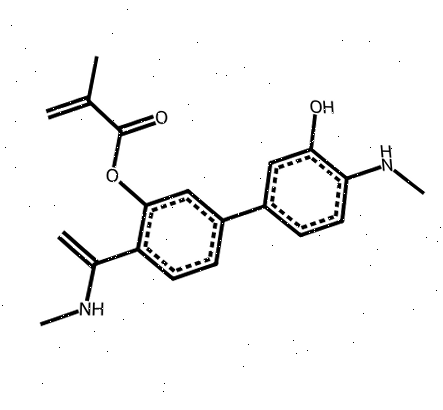 C=C(C)C(=O)Oc1cc(-c2ccc(NC)c(O)c2)ccc1C(=C)NC